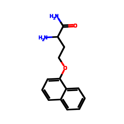 NC(=O)C(N)CCOc1cccc2ccccc12